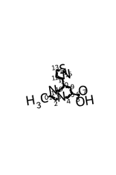 Cc1cn2cc(C(=O)O)cc(-c3ccsn3)c2n1